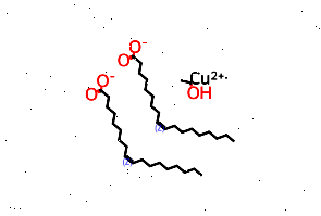 CCCCCCCC/C=C\CCCCCCCC(=O)[O-].CCCCCCCC/C=C\CCCCCCCC(=O)[O-].CCO.[Cu+2]